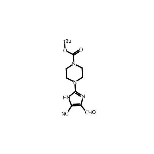 CC(C)(C)OC(=O)N1CCN(c2nc(C=O)c(C#N)[nH]2)CC1